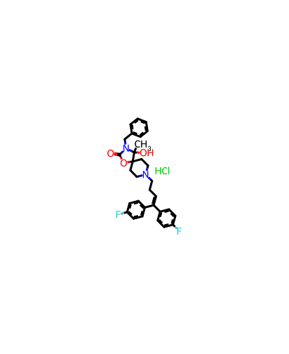 CC1(O)N(Cc2ccccc2)C(=O)OC12CCN(CCC=C(c1ccc(F)cc1)c1ccc(F)cc1)CC2.Cl